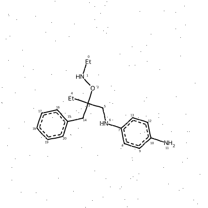 CCNOC(CC)(CNc1ccc(N)cc1)Cc1ccccc1